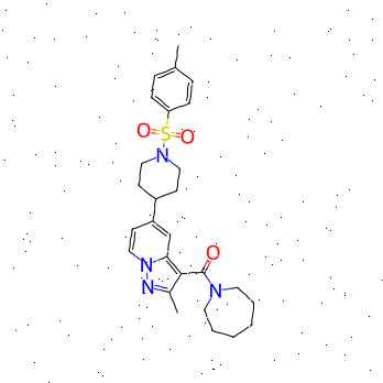 Cc1ccc(S(=O)(=O)N2CCC(c3ccn4nc(C)c(C(=O)N5CCCCCC5)c4c3)CC2)cc1